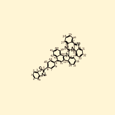 c1ccc2sc(-c3ccc(-c4cc5c6ccccc6n(-c6nc7ccccc7c7nc8ccccc8n67)c5c5ccccc45)cc3)nc2c1